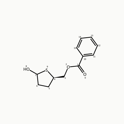 O=C(OC[C@H]1CCC(O)S1)c1ccccc1